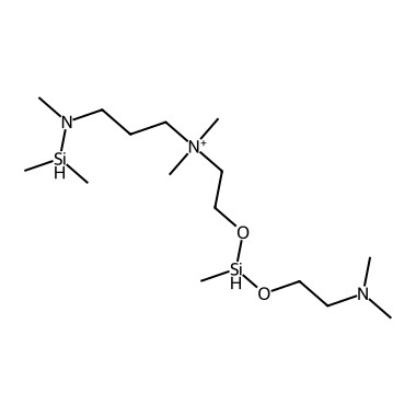 CN(C)CCO[SiH](C)OCC[N+](C)(C)CCCN(C)[SiH](C)C